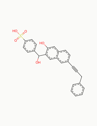 O=S(=O)(O)c1ccc(C(O)c2cc3cc(C#CCc4ccccc4)ccc3cc2O)cc1